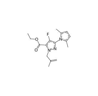 C=C(C)Cn1nc(-n2c(C)ccc2C)c(F)c1C(=O)OCC